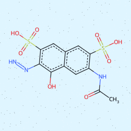 CC(=O)Nc1cc2c(O)c(N=N)c(S(=O)(=O)O)cc2cc1S(=O)(=O)O